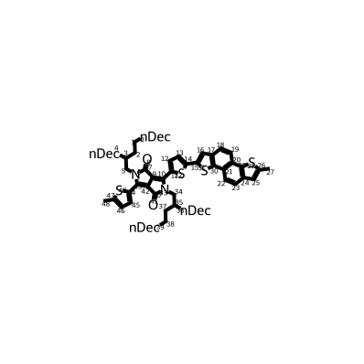 CCCCCCCCCCCCC(CCCCCCCCCC)CN1C(=O)C2=C(c3ccc(-c4cc5ccc6c(ccc7cc(C)sc76)c5s4)s3)N(CC(CCCCCCCCCC)CCCCCCCCCCCC)C(=O)C2=C1c1ccc(C)s1